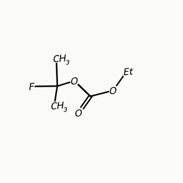 CCOC(=O)OC(C)(C)F